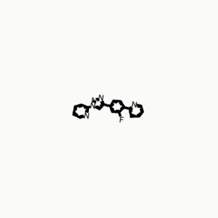 Fc1cc(-c2cn(-c3ccccn3)nn2)ccc1-c1ccccn1